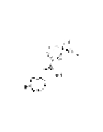 CC(C)(C)OC(=O)NC[C@@H]1CCCNC1.Cl